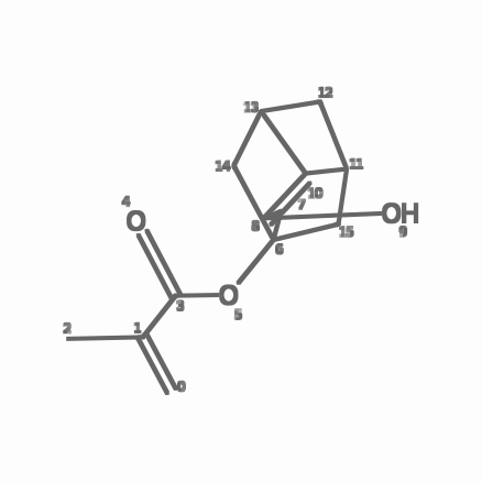 C=C(C)C(=O)OC12CC(O)=C3C(CC3C1)C2